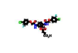 O=C(O)CCC(=O)O[C@H]1CC2(NC(=O)COc3ccc(Cl)c(F)c3)CCC1(NC(=O)COc1ccc(Cl)c(F)c1)CC2